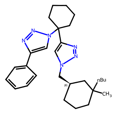 CCCCC1(C)CCC[C@@H](Cn2cc(C3(n4cc(-c5ccccc5)nn4)CCCCC3)nn2)C1